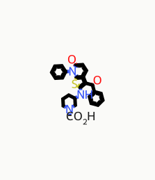 O=C(c1ccccc1)c1c(NC2CCCN(C(=O)O)C2)sc2c1ccc(=O)n2-c1ccccc1